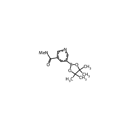 CNC(=O)c1cncc(B2OC(C)(C)C(C)(C)O2)c1